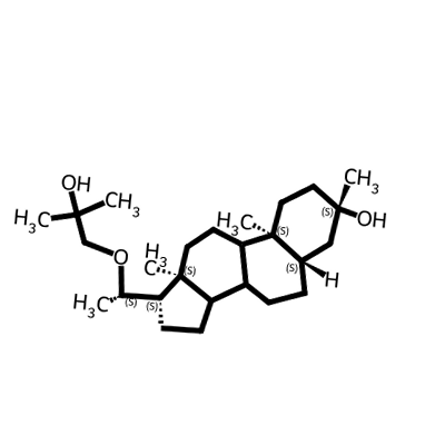 C[C@H](OCC(C)(C)O)[C@H]1CCC2C3CC[C@H]4C[C@@](C)(O)CC[C@]4(C)C3CC[C@@]21C